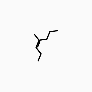 CC/C=C(/C)CCC